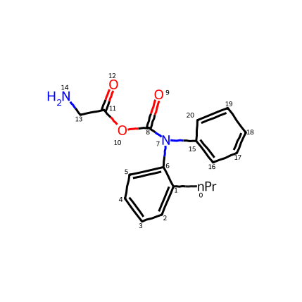 CCCc1ccccc1N(C(=O)OC(=O)CN)c1ccccc1